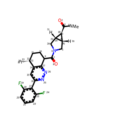 CNC(=O)[C@H]1[C@@H]2CN(C(=O)C3CC[C@@H](C(C)C)c4cc(-c5c(F)cccc5F)nnc43)C[C@@H]21